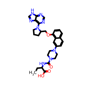 CCC(NC(=O)N1CCN(c2ccc3cccc(OCC4CCCN4c4ncnc5[nH]cnc45)c3c2)CC1)C(=O)O